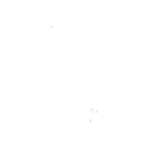 CCCCCCCCCCCCCCC[CH2][Mg][F]